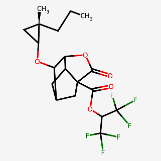 CCC[C@@]1(C)CC1OC1C2CC3C1OC(=O)C3(C(=O)OC(C(F)(F)F)C(F)(F)F)C2